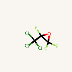 FC1(F)OC1(F)C(Cl)(Cl)Cl